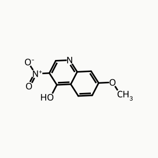 COc1ccc2c(O)c([N+](=O)[O-])cnc2c1